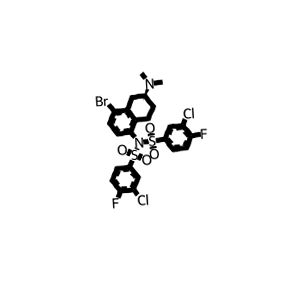 CN(C)[C@H]1CCc2c(N(S(=O)(=O)c3ccc(F)c(Cl)c3)S(=O)(=O)c3ccc(F)c(Cl)c3)ccc(Br)c2C1